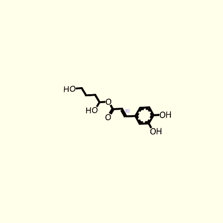 O=C(/C=C/c1ccc(O)c(O)c1)OC(O)CCCO